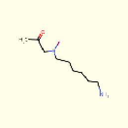 CC(=O)CN(I)CCCCCCN